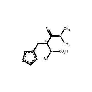 CN(C)C(=O)[C@H](Cc1cscn1)N(C(=O)O)C(C)(C)C